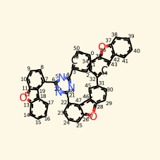 c1ccc(-c2nc(-c3cccc4oc5ccccc5c34)nc(-c3cccc4oc5ccc(-c6ccc7oc8ccccc8c7c6)cc5c34)n2)cc1